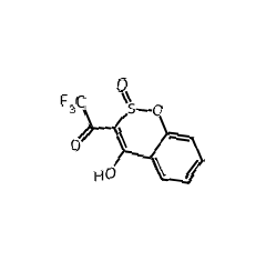 O=C(C1=C(O)c2ccccc2OS1=O)C(F)(F)F